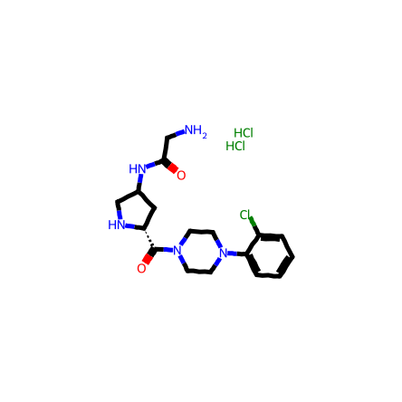 Cl.Cl.NCC(=O)NC1CN[C@@H](C(=O)N2CCN(c3ccccc3Cl)CC2)C1